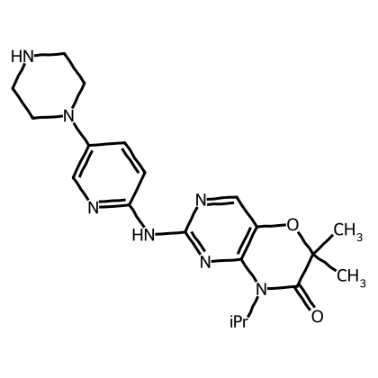 CC(C)N1C(=O)C(C)(C)Oc2cnc(Nc3ccc(N4CCNCC4)cn3)nc21